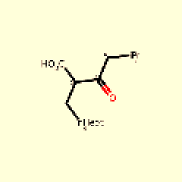 CCCCCCCCC(C(=O)O)C(=O)CC(C)C